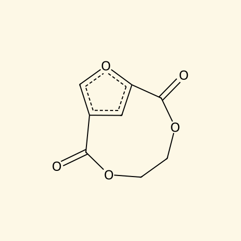 O=C1OCCOC(=O)c2cc1co2